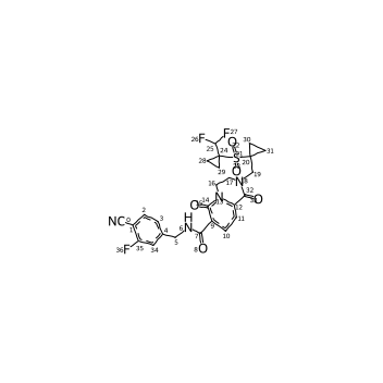 N#Cc1ccc(CNC(=O)c2ccc3n(c2=O)CCN(CC2(S(=O)(=O)C4(C(F)F)CC4)CC2)C3=O)cc1F